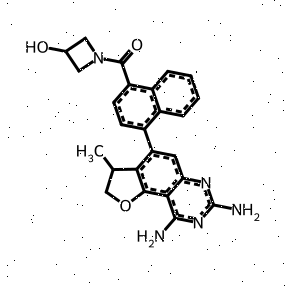 CC1COc2c1c(-c1ccc(C(=O)N3CC(O)C3)c3ccccc13)cc1nc(N)nc(N)c21